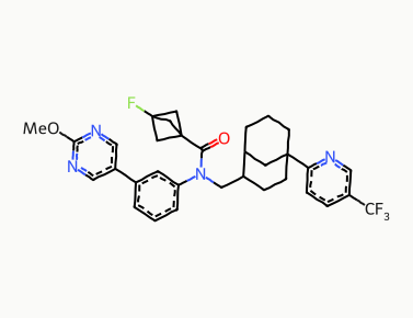 COc1ncc(-c2cccc(N(CC3CCC4(c5ccc(C(F)(F)F)cn5)CCCC3C4)C(=O)C34CC(F)(C3)C4)c2)cn1